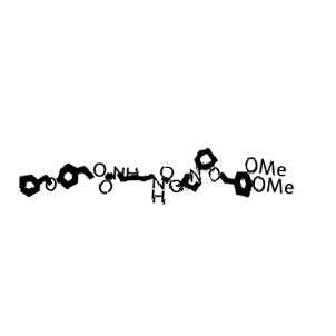 COc1ccc(CCO[C@@H]2CCCC[C@H]2N2CC[C@@H](OC(=O)NCCCCNC(=O)OCCc3ccc(OCc4ccccc4)cc3)C2)cc1OC